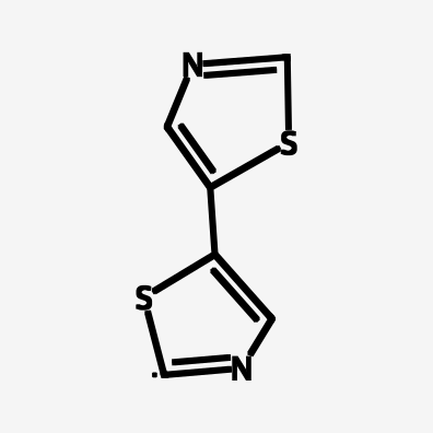 [c]1ncc(-c2cncs2)s1